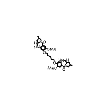 C=C1C[C@H]2CNc3cc(OCCCCCOc4cc5c(cc4OC)C(=O)N4CC(=C)C[C@H]4CN5)c(OC)cc3C(=O)N2C1